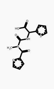 CN(C(=O)NC(C(=O)O)c1cccs1)C(=O)c1ccco1